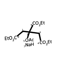 CCOC(=O)CC(CC(=O)OCC)(OC(C)=O)C(=O)OCC.[NaH]